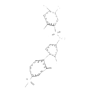 Cc1cc(N)c(N)cc1S(=O)(=O)Nc1ccc(-c2ccc(S(C)(=O)=O)cc2F)c(Cl)c1